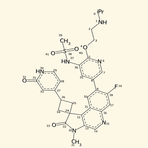 CC(C)NCCOc1ncc(-c2cc3c4c(cnc3cc2F)N(C)C(=O)C42CC(c3cc[nH]c(=O)c3)C2)cc1NS(C)(=O)=O